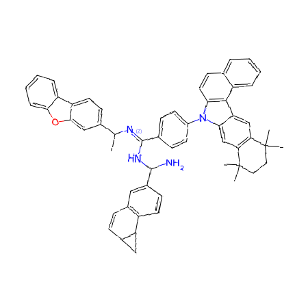 CC(/N=C(\NC(N)c1ccc2c(c1)C=CC1CC21)c1ccc(-n2c3cc4c(cc3c3c5ccccc5ccc32)C(C)(C)CCC4(C)C)cc1)c1ccc2c(c1)oc1ccccc12